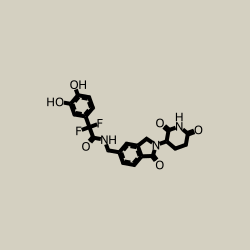 O=C1CCC(N2Cc3cc(CNC(=O)C(F)(F)c4ccc(O)c(O)c4)ccc3C2=O)C(=O)N1